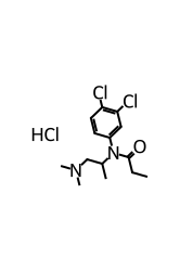 CCC(=O)N(c1ccc(Cl)c(Cl)c1)C(C)CN(C)C.Cl